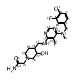 CN(Cc1ccc(Cl)c(F)c1)c1ncnc(NCC2CCN(CC(N)=O)CC2O)c1F